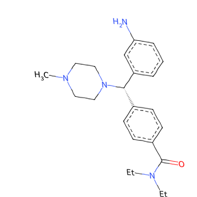 CCN(CC)C(=O)c1ccc([C@@H](c2cccc(N)c2)N2CCN(C)CC2)cc1